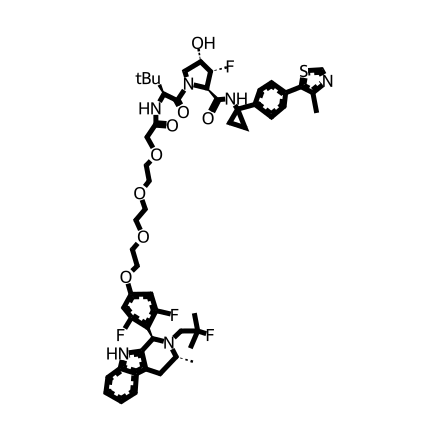 Cc1ncsc1-c1ccc(C2(NC(=O)[C@@H]3[C@@H](F)[C@@H](O)CN3C(=O)[C@@H](NC(=O)COCCOCCOCCOc3cc(F)c([C@@H]4c5[nH]c6ccccc6c5C[C@@H](C)N4CC(C)(C)F)c(F)c3)C(C)(C)C)CC2)cc1